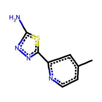 Cc1ccnc(-c2nnc(N)s2)c1